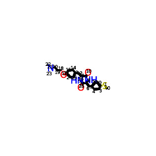 CSc1ccc(C=c2[nH]c(=O)c(=Cc3ccc(OCCCN(C)C)cc3)[nH]c2=O)cc1